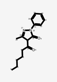 CCCCCC(=O)C1C(=O)N(c2ccccc2)N=C1C